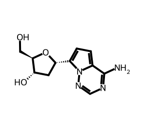 Nc1ncnn2c([C@@H]3C[C@H](O)[C@@H](CO)O3)ccc12